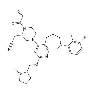 C=CC(=O)N1CCN(c2nc(OCC3CCCN3C)nc3c2CCCN(c2cccc(F)c2C)C3)CC1CC#N